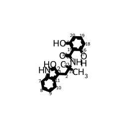 CC(Cc1c[nH]c2ccccc12)(NC(=O)c1c(O)cccc1O)C(=O)O